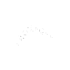 CN1CCN(c2ccc3nc(NC(=O)[C@H](CC4CCCC4)c4ccc(S(=O)(=O)N5CCN(C)CC5)c(Cl)c4)sc3n2)CC1